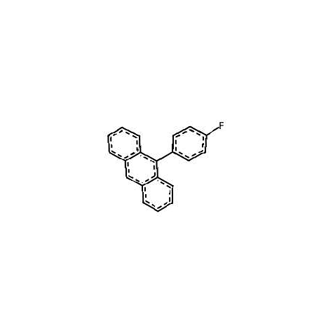 Fc1ccc(-c2c3ccccc3cc3ccccc23)cc1